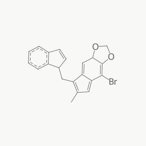 CC1=C(CC2C=Cc3ccccc32)C2=CC3OCOC3=C(Br)C2=C1